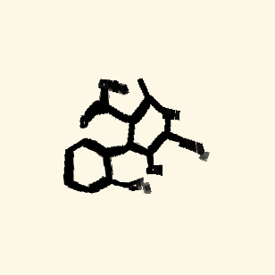 COC(=O)C1=C(C)NC(N)=C(C#N)C1c1ccccc1C(F)(F)F